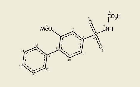 COc1cc(S(=O)(=O)NC(=O)O)ccc1-c1ccccc1